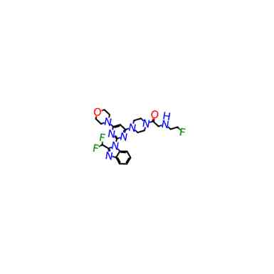 O=C(CNCCF)N1CCN(c2cc(N3CCOCC3)nc(-n3c(C(F)F)nc4ccccc43)n2)CC1